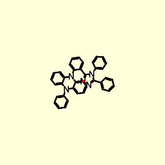 c1ccc(-c2nnc(-c3ccccc3N3c4ccccc4N(c4ccccc4)c4ccccc43)n2-c2ccccc2)cc1